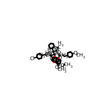 CNC(=O)[C@@](N[C@@H](CCc1ccc(Cl)cc1)c1ccc(OC)c(OC)c1)(c1ccccc1)[C@@](N[C@H](CCc1ccc(OC)cc1)c1ccc(OC)c(OC)c1)(C(=O)NC)c1ccccc1